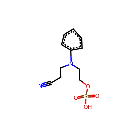 N#CCCN(CCOS(=O)(=O)O)c1ccccc1